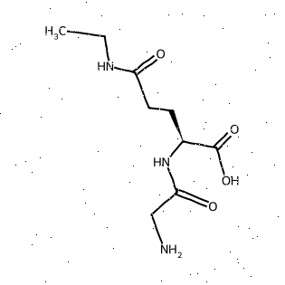 CCNC(=O)CC[C@H](NC(=O)CN)C(=O)O